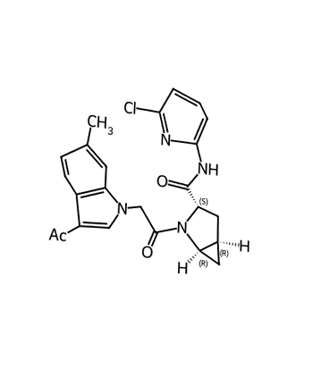 CC(=O)c1cn(CC(=O)N2[C@@H]3C[C@@H]3C[C@H]2C(=O)Nc2cccc(Cl)n2)c2cc(C)ccc12